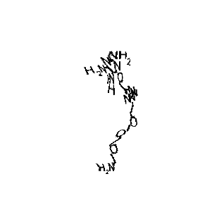 NCCOCCOCCOCCn1nnc(COc2nc(N)nc(N)c2NI)n1